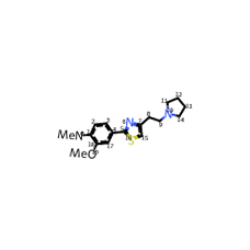 CNc1ccc(-c2nc(CCN3CCCC3)cs2)cc1OC